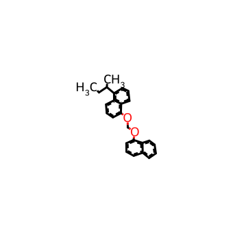 CCC(C)c1cccc2c(OCOc3cccc4ccccc34)cccc12